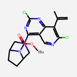 C=C(C)c1c(Cl)ncc2c(N3CC4CCC(C3)N4C(=O)OC(C)(C)C)nc(Cl)nc12